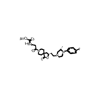 COC(=O)NCC(=O)N1CCC2(CC1)C[C@H](CCN1CCN(c3ccc(F)cc3)[C@@H](C)C1)OC2=O